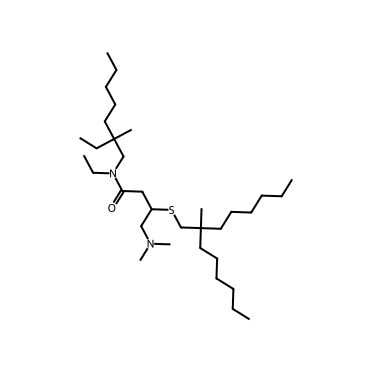 CCCCCCC(C)(CCCCCC)CSC(CC(=O)N(CC)CC(C)(CC)CCCCC)CN(C)C